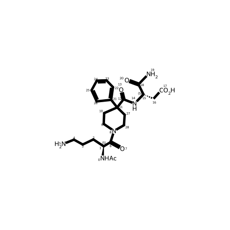 CC(=O)N[C@@H](CCCN)C(=O)N1CCC(C(=O)N[C@@H](CC(=O)O)C(N)=O)(c2ccccc2)CC1